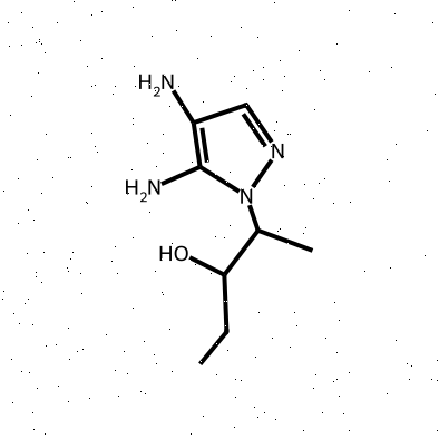 CCC(O)C(C)n1ncc(N)c1N